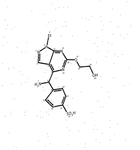 CCn1ncc2c(C(N)c3ccc(S(=O)(=O)O)cc3)nc(OCCO)nc21